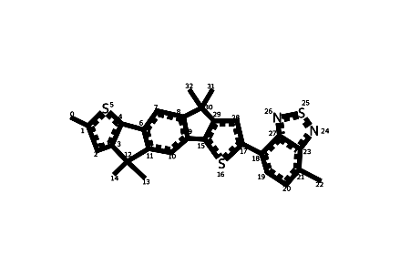 Cc1cc2c(s1)-c1cc3c(cc1C2(C)C)-c1sc(-c2ccc(C)c4nsnc24)cc1C3(C)C